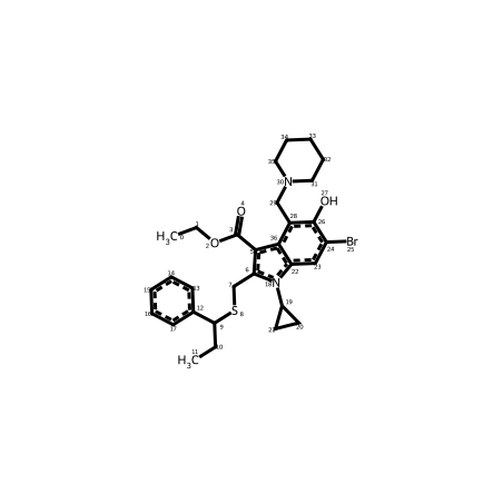 CCOC(=O)c1c(CSC(CC)c2ccccc2)n(C2CC2)c2cc(Br)c(O)c(CN3CCCCC3)c12